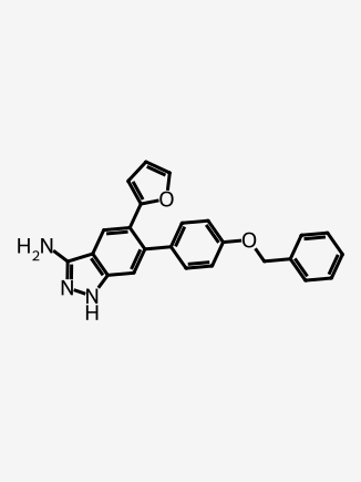 Nc1n[nH]c2cc(-c3ccc(OCc4ccccc4)cc3)c(-c3ccco3)cc12